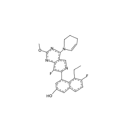 CCc1c(F)ccc2cc(O)cc(-c3ncc4c(N5C=CCCC5)nc(OC)nc4c3F)c12